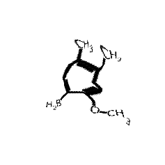 Bc1cc(C)c(C)cc1OC